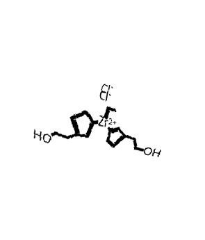 C[CH]=[Zr+2]([C]1=CC(CCO)=CC1)[C]1=CC(CCO)=CC1.[Cl-].[Cl-]